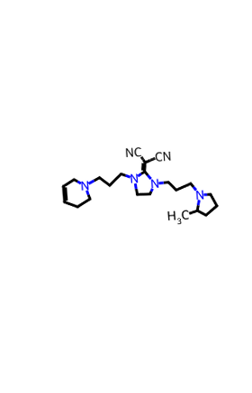 CC1CCCN1CCCN1CCN(CCCN2CC=CCC2)C1=C(C#N)C#N